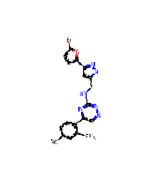 Cc1cc(C#N)ccc1-c1cnnc(NCc2cc(-c3ccc(Br)o3)[nH]n2)n1